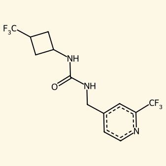 O=C(NCc1ccnc(C(F)(F)F)c1)NC1CC(C(F)(F)F)C1